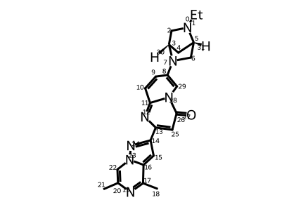 CCN1C[C@@H]2C[C@H]1CN2c1ccc2nc(-c3cc4c(C)nc(C)cn4n3)cc(=O)n2c1